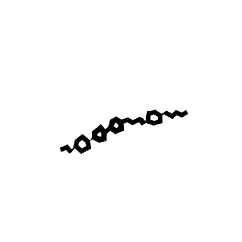 CCCCC[C@H]1CC[C@H](/C=C/CCc2ccc(-c3ccc([C@H]4CC[C@H](CCC)CC4)cc3)cc2)CC1